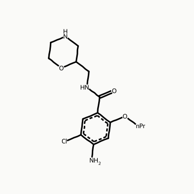 CCCOc1cc(N)c(Cl)cc1C(=O)NCC1CNCCO1